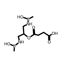 CB(O)NCC(CNB(C)O)OC(=O)CCC(=O)O